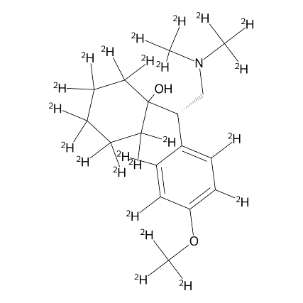 [2H]c1c([2H])c([C@@H](CN(C([2H])([2H])[2H])C([2H])([2H])[2H])C2(O)C([2H])([2H])C([2H])([2H])C([2H])([2H])C([2H])([2H])C2([2H])[2H])c([2H])c([2H])c1OC([2H])([2H])[2H]